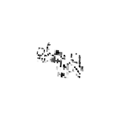 COc1cccc2[nH]c(C(=O)N[C@@H](OC(C)(C)C)C(=O)N3C[C@]4(C[C@H]3C#N)C(=O)Nc3ccccc34)cc12